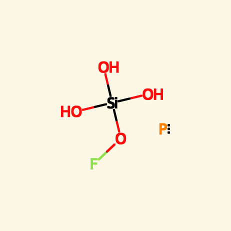 O[Si](O)(O)OF.[P]